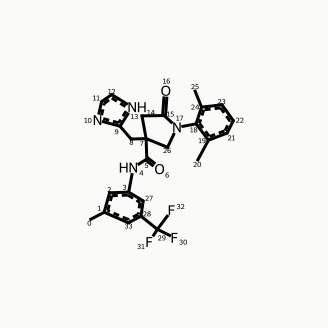 Cc1cc(NC(=O)C2(Cc3ncc[nH]3)CC(=O)N(c3c(C)cccc3C)C2)cc(C(F)(F)F)c1